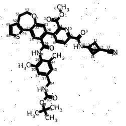 COC(=O)c1nc(C(=O)NC23CC(C#N)(C2)C3)ccc1-c1cc2c(cc1C(=O)Nc1c(C)cc(CNC(=O)OC(C)(C)C)cc1C)-c1sccc1CCO2